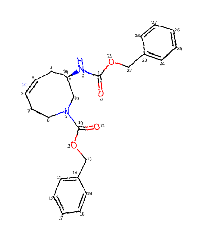 O=C(N[C@@H]1C/C=C\CCN(C(=O)OCc2ccccc2)C1)OCc1ccccc1